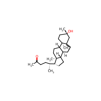 CC(=O)CC[C@@H](C)[C@H]1CC[C@H]2[C@@H]3CC=C4C[C@@](C)(O)CC[C@]4(C)[C@H]3CC[C@]12C